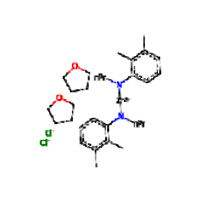 C1CCOC1.C1CCOC1.CCC[N]([Zr+2][N](CCC)c1cccc(C)c1C)c1cccc(C)c1C.[Cl-].[Cl-]